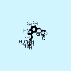 [2H]c1c(C[C@H]2COC(=O)N2)c(C)c2c(CC([2H])([2H])N(C)C([2H])([2H])[2H])c[nH]c2c1[2H]